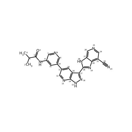 CC(C)C(=O)Nc1cncc(-c2cnc3[nH]nc(-c4nc5c(C#N)cncc5[nH]4)c3c2)c1